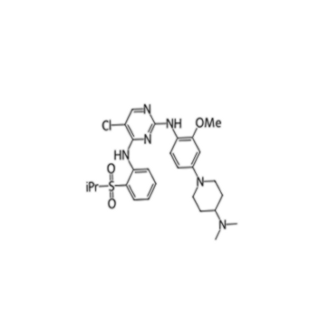 COc1cc(N2CCC(N(C)C)CC2)ccc1Nc1ncc(Cl)c(Nc2ccccc2S(=O)(=O)C(C)C)n1